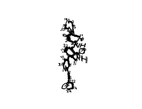 CN1CCN(c2ccc(Nc3ccc(-c4ccnc(C#CC5CCCO5)c4)c4c3C(=O)NC4)nc2)CC1